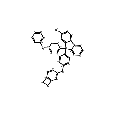 Brc1ccc2c(c1)C(c1ccc(Cc3ccc4c(c3)CC4)cc1)(c1ccc(Oc3ccccc3)cc1)c1ccccc1-2